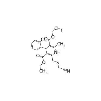 CCOC(=O)C1=C(C)NC(CSCC#N)=C(C(=O)OCC)C1c1ccccc1Cl